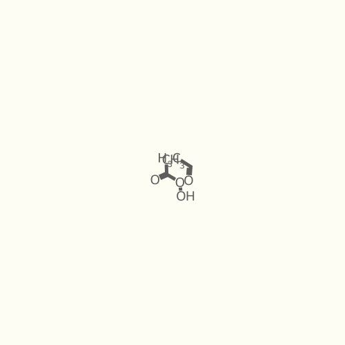 CC(=O)OO.CC=O